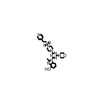 Cc1nc2c(O)cccc2n1-c1nc(N2CCOCC2)nc(N2CCN(S(=O)(=O)CCc3ccncc3)CC2)n1